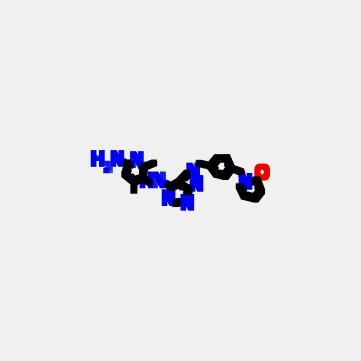 Cc1cc(N)nc(C)c1CNc1ncnc2nn(Cc3ccc(Cn4ccccc4=O)cc3)cc12